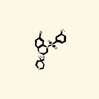 O=C(O)C1(C[C@H]2CN(S(=O)(=O)c3cccc(C(F)(F)F)c3)c3cc(Br)ccc3O2)CCOCC1